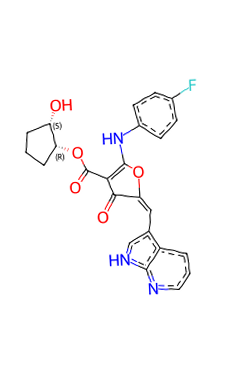 O=C(O[C@@H]1CCC[C@@H]1O)C1=C(Nc2ccc(F)cc2)OC(=Cc2c[nH]c3ncccc23)C1=O